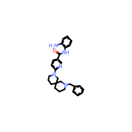 Nc1ccccc1NC(=O)c1ccc(N2CCCC3(CCCN(Cc4ccccc4)C3)C2)nc1